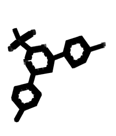 Cc1ccc(-c2cc(-c3ccc(F)cc3)nc(S(C)(=O)=O)n2)cc1